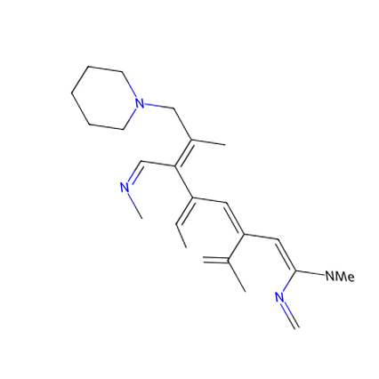 C=N\C(=C/C(=C/C(=C\C)C(/C=N\C)=C(C)CN1CCCCC1)C(=C)C)NC